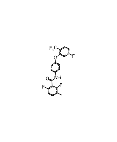 Cc1ccc(F)c(C(=O)Nc2ccc(Oc3cc(F)ccc3C(F)(F)F)cc2)c1F